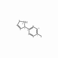 Cc1ccc(C2C=CCN2)cc1